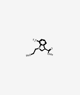 COCCN1CC(C(=O)OC)c2cccc(C(F)(F)F)c21